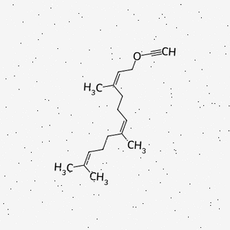 C#COCC=C(C)CCC=C(C)CCC=C(C)C